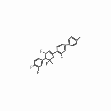 Cc1ccc(-c2ccc(C3=C[C@H](F)C(c4ccc(F)c(F)c4)C(C)(F)C3)c(F)c2)cc1